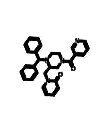 O=C(c1cccnc1)N1CCN(C(c2ccccc2)c2ccccc2)C(Cn2ccccc2=O)C1